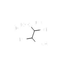 O=C(O)C(O)C(O)C(=O)O.[H+].[K+].[KH]